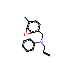 C=CCN(Cc1ccc(C)c2c1O2)c1ccccc1